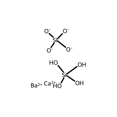 O[Si](O)(O)O.[Ba+2].[Ca+2].[O-][Si]([O-])([O-])[O-]